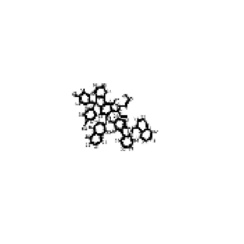 C=Cc1c(/C=C\C)oc2c3c(cc(N(c4ccc5ccccc5c4)c4ccc5c(c4)c4ccccc4n5C4C=CC=C5C=CC=CC54)c12)C(c1ccc(C)cc1)(c1ccc(C)cc1)C1=C3CCC=C1